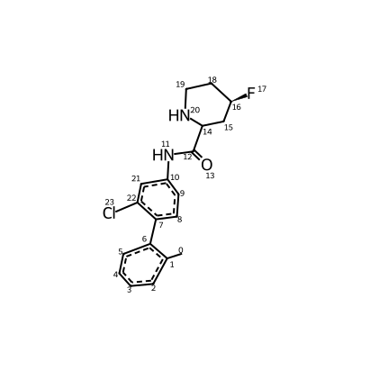 Cc1ccccc1-c1ccc(NC(=O)C2C[C@H](F)CCN2)cc1Cl